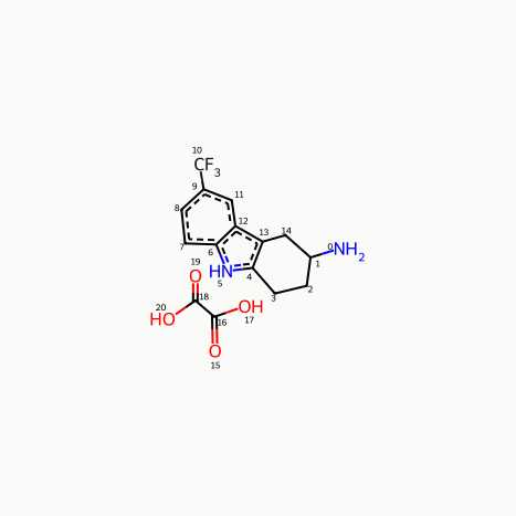 NC1CCc2[nH]c3ccc(C(F)(F)F)cc3c2C1.O=C(O)C(=O)O